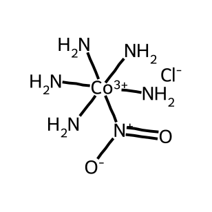 [Cl-].[NH2][Co+3]([NH2])([NH2])([NH2])([NH2])[N+](=O)[O-]